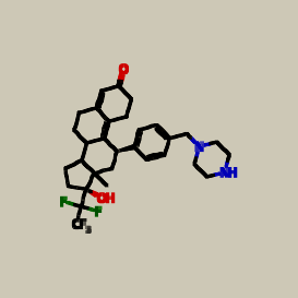 CC12C[C@H](c3ccc(CN4CCNCC4)cc3)C3=C4CCC(=O)C=C4CCC3C1CC[C@@]2(O)C(F)(F)C(F)(F)F